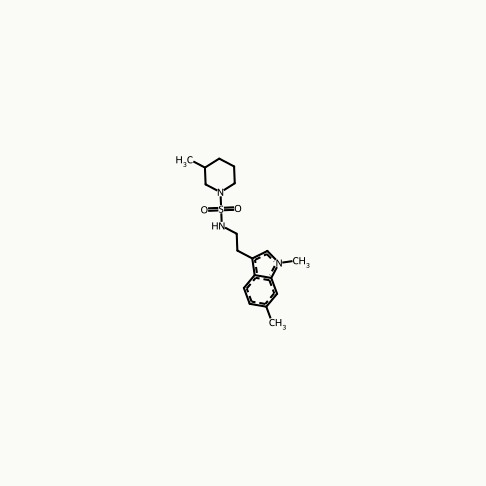 Cc1ccc2c(CCNS(=O)(=O)N3CCCC(C)C3)cn(C)c2c1